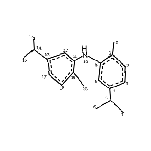 Cc1ccc(C(C)C)cc1Nc1cc(C(C)C)ccc1C